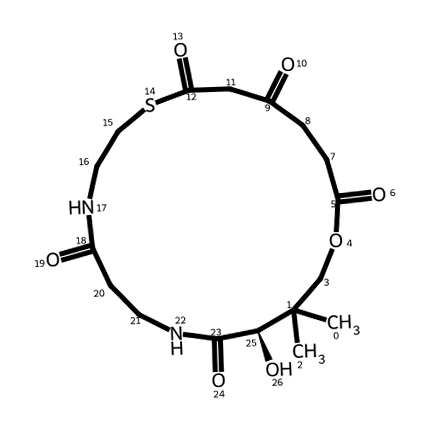 CC1(C)COC(=O)CCC(=O)CC(=O)SCCNC(=O)CCNC(=O)[C@@H]1O